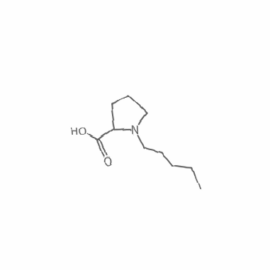 CCCCCN1CCCC1C(=O)O